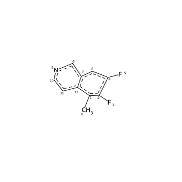 Cc1c(F)c(F)cc2cnccc12